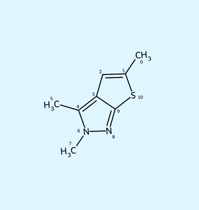 Cc1cc2c(C)n(C)nc2s1